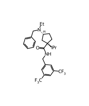 CCN(Cc1ccccc1)[C@@H]1CC[C@@](C(=O)NCc2cc(C(F)(F)F)cc(C(F)(F)F)c2)(C(C)C)C1